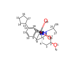 CO[C@H]1CC[C@]2(CC1)Cc1ccc(C3CCCC3)cc1C21NC(=O)N(C(C)C)C1=O